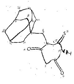 O=C1CC(=O)N(CC23CC4CC(CC(C4)C2)C3)C(=S)N1